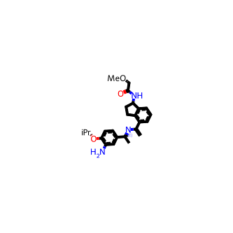 C=C(/N=C(\C)c1ccc(OC(C)C)c(N)c1)c1cccc2c1CCC2NC(=O)COC